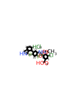 COc1c(Cl)cc(C(=O)O)cc1S(=O)(=O)Nc1cc(-c2cccc3c2CNC3)c(F)cc1F.Cl